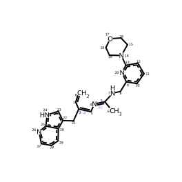 C=C/C(=C\N=C(/C)NCc1cccc(N2CCOCC2)n1)Cc1c[nH]c2ncccc12